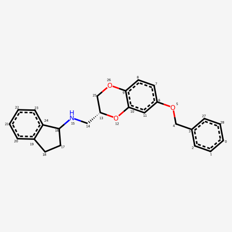 c1ccc(COc2ccc3c(c2)O[C@H](CNC2CCc4ccccc42)CO3)cc1